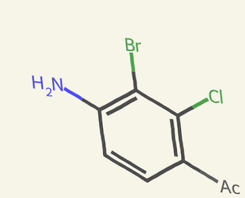 CC(=O)c1ccc(N)c(Br)c1Cl